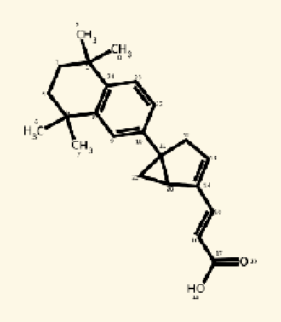 CC1(C)CCC(C)(C)c2cc(C34CC=C(C=CC(=O)O)C3C4)ccc21